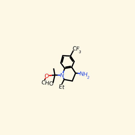 CCC1CC(N)c2cc(C(F)(F)F)ccc2N1C(C)(C)OC=O